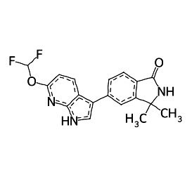 CC1(C)NC(=O)c2ccc(-c3c[nH]c4nc(OC(F)F)ccc34)cc21